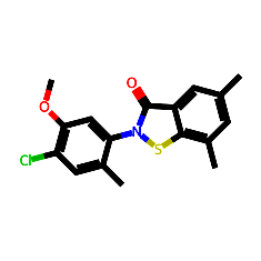 COc1cc(-n2sc3c(C)cc(C)cc3c2=O)c(C)cc1Cl